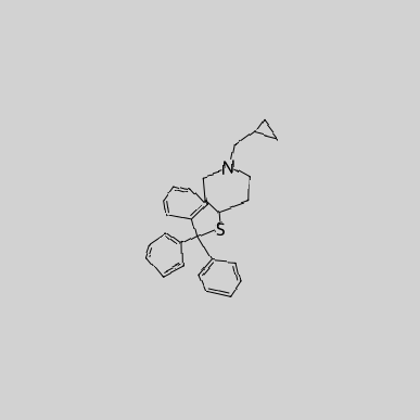 c1ccc(C(SC2CCN(CC3CC3)CC2)(c2ccccc2)c2ccccc2)cc1